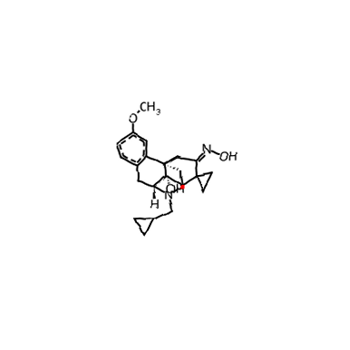 COc1ccc2c(c1)[C@]13CCN(CC4CC4)[C@H](C2)[C@]1(O)CC1(CC1)/C(=N\O)C3